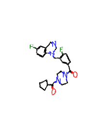 O=C(c1ccc(F)c(CN2CN=Cc3cc(F)ccc32)c1)N1CCN(C(=O)C2CCCC2)CC1